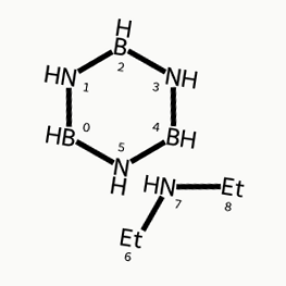 B1NBNBN1.CCNCC